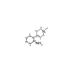 CN1CC=C(c2ccccc2N)CC1